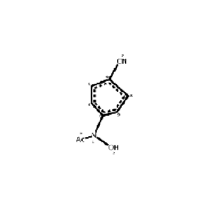 CC(=O)N(O)c1ccc(C#N)cc1